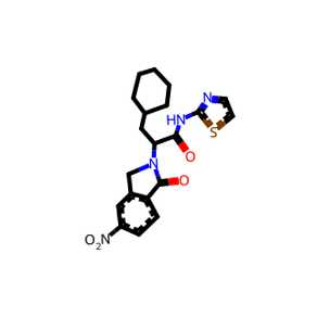 O=C(Nc1nccs1)C(CC1CCCCC1)N1Cc2cc([N+](=O)[O-])ccc2C1=O